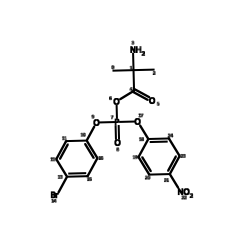 CC(C)(N)C(=O)OP(=O)(Oc1ccc(Br)cc1)Oc1ccc([N+](=O)[O-])cc1